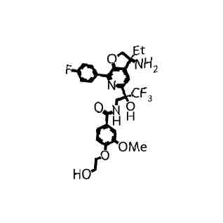 CC[C@]1(N)COc2c1cc([C@](O)(CNC(=O)c1ccc(OCCO)c(OC)c1)C(F)(F)F)nc2-c1ccc(F)cc1